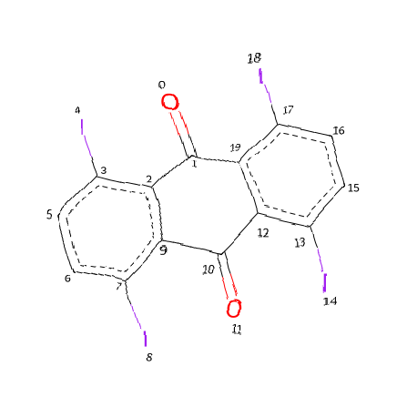 O=C1c2c(I)ccc(I)c2C(=O)c2c(I)ccc(I)c21